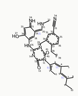 C\C=C(/C=C(C)\C=C(/C)CC)n1c(=O)nc(NC2=C/C(=C/NC)C(=N)C=C2O)n(Cc2cc(C#N)ccc2CF)c1=O